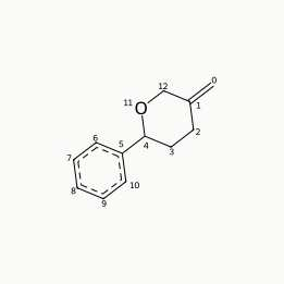 C=C1CCC(c2ccccc2)OC1